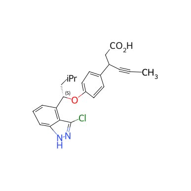 CC#CC(CC(=O)O)c1ccc(O[C@@H](CC(C)C)c2cccc3[nH]nc(Cl)c23)cc1